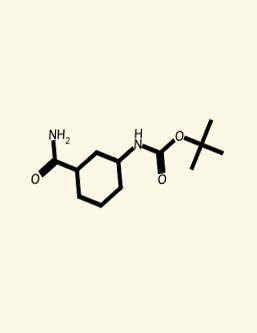 CC(C)(C)OC(=O)NC1CCCC(C(N)=O)C1